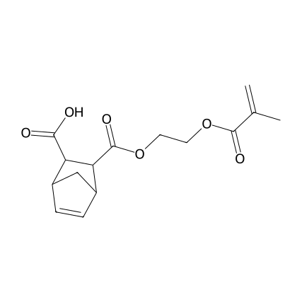 C=C(C)C(=O)OCCOC(=O)C1C2C=CC(C2)C1C(=O)O